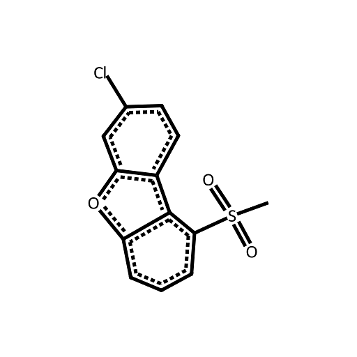 CS(=O)(=O)c1cccc2oc3cc(Cl)ccc3c12